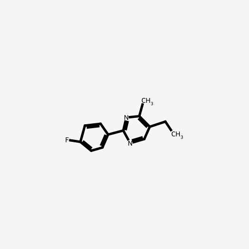 CCc1cnc(-c2ccc(F)cc2)nc1C